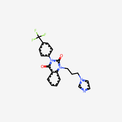 O=c1c2ccccc2n(CCCn2ccnc2)c(=O)n1-c1ccc(C(F)(F)F)cc1